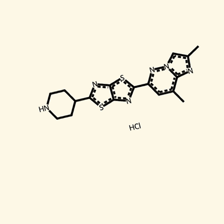 Cc1cn2nc(-c3nc4sc(C5CCNCC5)nc4s3)cc(C)c2n1.Cl